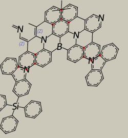 C=N/C=C(\C(=C(/C)c1ccccc1)N1c2cc(-n3c4ccccc4c4cc([Si](c5ccccc5)(c5ccccc5)c5ccccc5)ccc43)ccc2B2c3ccc(-n4c5ccccc5c5ccccc54)cc3N(c3c(-c4ccccc4)cncc3-c3ccccc3)c3cc(C(C)(C)C)cc1c32)c1ccccc1